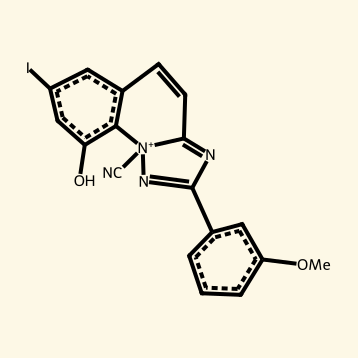 COc1cccc(C2=N[N+]3(C#N)C(=N2)C=Cc2cc(I)cc(O)c23)c1